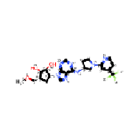 COC[C@H]1C[C@@H](n2cnc3c(N[C@H]4CCN(c5cc(C(F)(F)F)ccn5)C4)ncnc32)[C@H](O)[C@@H]1O